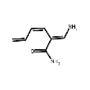 C=C/C=C\C(=C/N)C(N)=O